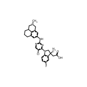 CN1Cc2cc(Nc3ncc(Cl)c(N4CC(C)(CC(=O)O)c5cc(F)ccc54)n3)cc3c2C(CCC3)C1